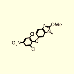 COc1nc2ccc(Oc3c(Cl)cc([N+](=O)[O-])cc3Cl)cc2n1C